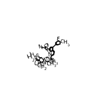 C=C(C#N)C(=C(C)C)/C(C)=C\CN1CCN(C(=O)c2ccc3c(-c4ccc(C)c(F)c4)cn(CC(=O)C#N)c3n2)C(C)(C)C1